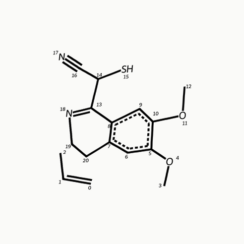 C=CC.COc1cc2c(cc1OC)C(C(S)C#N)=NCC2